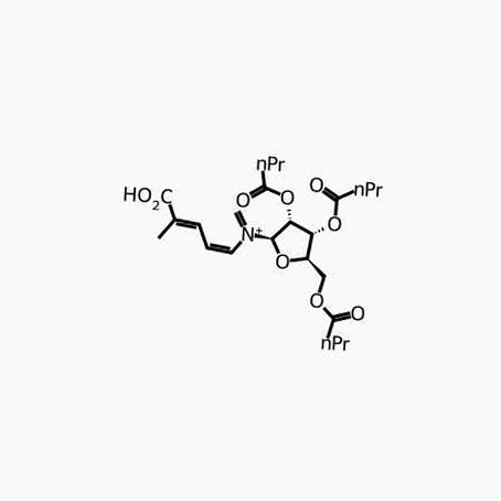 C=[N+](/C=C\C=C(/C)C(=O)O)[C@@H]1O[C@H](COC(=O)CCC)[C@@H](OC(=O)CCC)[C@H]1OC(=O)CCC